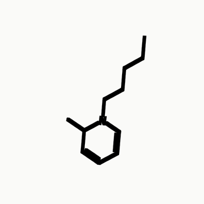 CCCCCN1C=CC=CC1C